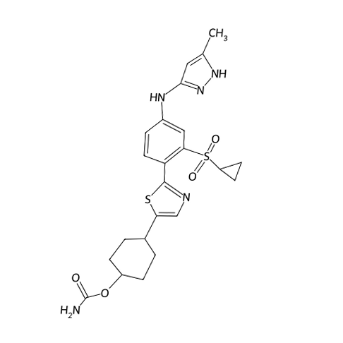 Cc1cc(Nc2ccc(-c3ncc(C4CCC(OC(N)=O)CC4)s3)c(S(=O)(=O)C3CC3)c2)n[nH]1